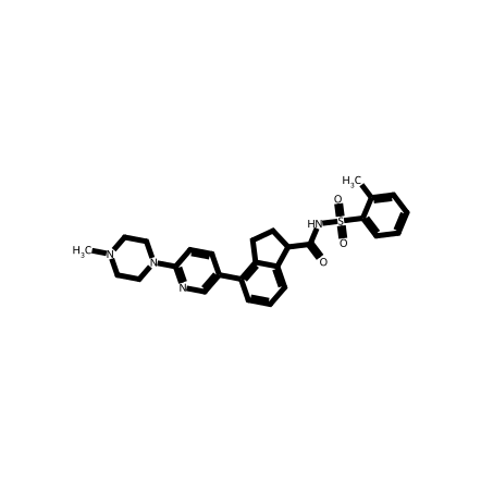 Cc1ccccc1S(=O)(=O)NC(=O)C1CCc2c(-c3ccc(N4CCN(C)CC4)nc3)cccc21